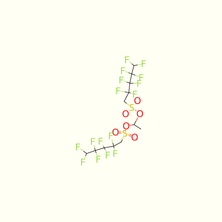 CC(OS(=O)(=O)CC(F)(F)C(F)(F)C(F)(F)C(F)F)OS(=O)(=O)CC(F)(F)C(F)(F)C(F)(F)C(F)F